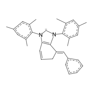 Cc1cc(C)c(N2[C]N(c3c(C)cc(C)cc3C)C3=C2C=CCC3=Cc2ccccc2)c(C)c1